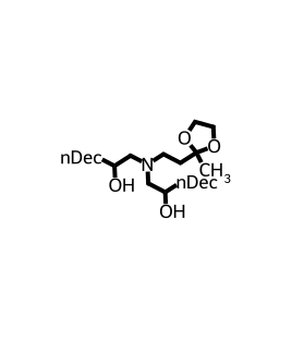 CCCCCCCCCCC(O)CN(CCC1(C)OCCO1)CC(O)CCCCCCCCCC